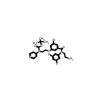 CCCN(C(=O)c1cc(Cl)cc(OCCN(C(=O)OC(C)(C)C)c2ccncc2)c1)c1cc(F)cc(F)c1